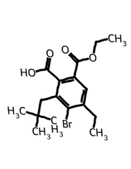 CCOC(=O)c1cc(CC)c(Br)c(CC(C)(C)C)c1C(=O)O